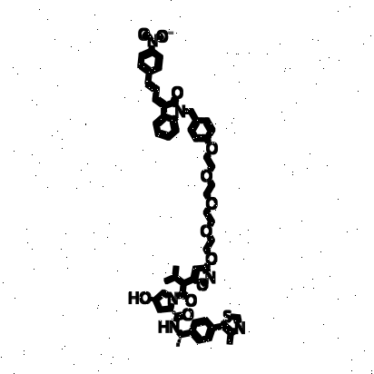 Cc1ncsc1-c1ccc([C@H](C)NC(=O)[C@@H]2C[C@@H](O)CN2C(=O)C(c2cc(OCCOCCOCCOCCOc3ccc(CN4C(=O)C(=C/C=C/c5ccc([N+](=O)[O-])cc5)c5ccccc54)cc3)no2)C(C)C)cc1